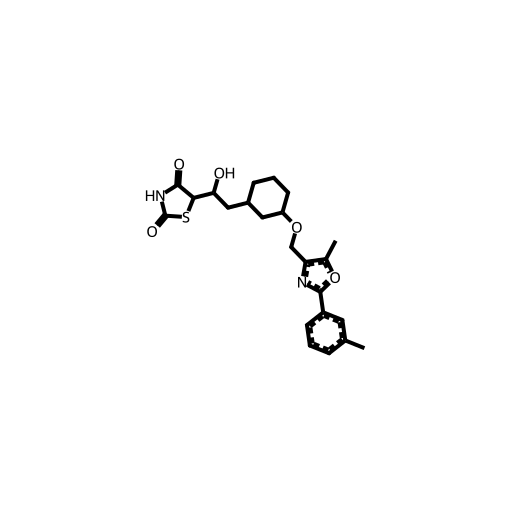 Cc1cccc(-c2nc(COC3CCCC(CC(O)C4SC(=O)NC4=O)C3)c(C)o2)c1